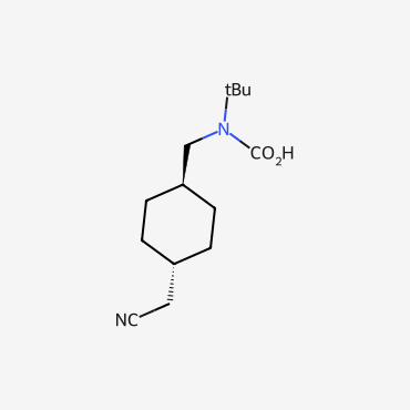 CC(C)(C)N(C[C@H]1CC[C@H](CC#N)CC1)C(=O)O